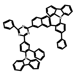 c1ccc(-c2ccc(-n3c4ccccc4c4ccccc43)c(-c3ccc4ccc(-c5nc(-c6ccccc6)nc(-c6ccc(-n7c8ccccc8c8ccccc87)c(-c7ccccc7)c6)n5)cc4c3)c2)cc1